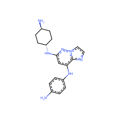 Nc1ccc(Nc2cc(N[C@H]3CC[C@H](N)CC3)nn3ccnc23)cc1